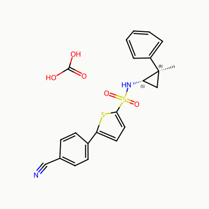 C[C@]1(c2ccccc2)C[C@@H]1NS(=O)(=O)c1ccc(-c2ccc(C#N)cc2)s1.O=C(O)O